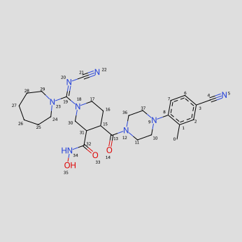 Cc1cc(C#N)ccc1N1CCN(C(=O)C2CCN(C(=NC#N)N3CCCCCC3)CC2C(=O)NO)CC1